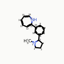 CN1CCCC1c1cccc(C2=CC=CC=CN2)c1